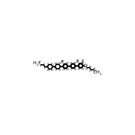 C=CCCC1CCC(C2CCC(c3ccc(-c4ccc(-c5ccc(OCCCCC)c(F)c5F)cc4)cc3F)CC2)CC1